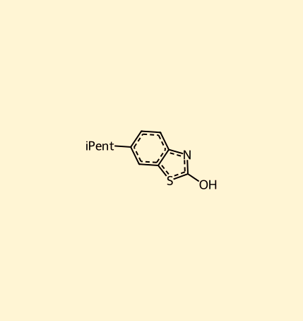 CCCC(C)c1ccc2nc(O)sc2c1